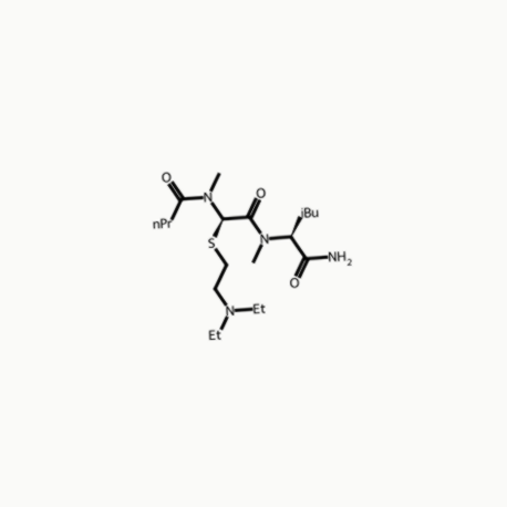 CCCC(=O)N(C)[C@H](SCCN(CC)CC)C(=O)N(C)[C@H](C(N)=O)C(C)CC